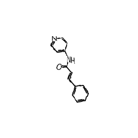 O=C(C=Cc1ccccc1)Nc1ccncc1